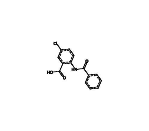 O=C(Nc1ccc(Cl)cc1C(=O)O)c1ccccc1